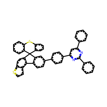 c1ccc(-c2cc(-c3ccc(-c4ccc5c(c4)C4(c6ccccc6Sc6ccccc64)c4ccc6sccc6c4-5)cc3)nc(-c3ccccc3)n2)cc1